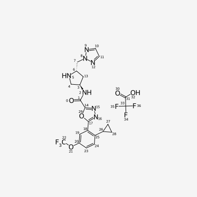 O=C(N[C@H]1CN[C@H](Cn2nccn2)C1)c1nnc(-c2cc(OC(F)(F)F)ccc2C2CC2)o1.O=C(O)C(F)(F)F